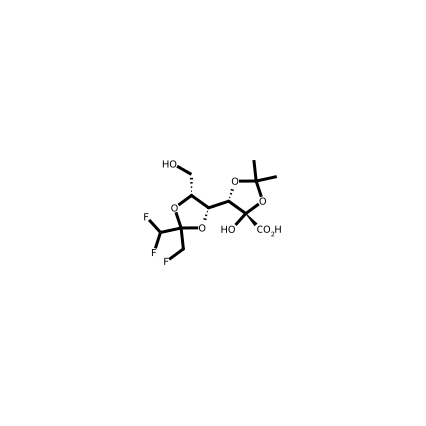 CC1(C)O[C@@H]([C@@H]2OC(CF)(C(F)F)O[C@@H]2CO)[C@](O)(C(=O)O)O1